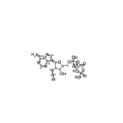 [N-]=[N+]=NC1C(O)C(COP(=O)(O)OP(=O)(O)OP(=O)(O)O)OC1n1cnc2c(N)ncnc21